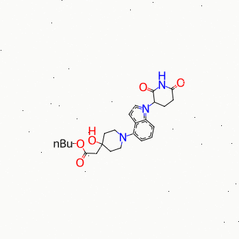 CCCCOC(=O)CC1(O)CCN(c2cccc3c2ccn3C2CCC(=O)NC2=O)CC1